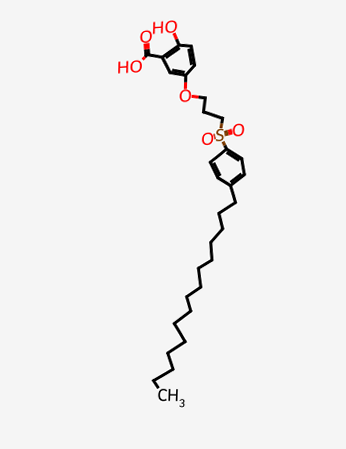 CCCCCCCCCCCCCCCc1ccc(S(=O)(=O)CCCOc2ccc(O)c(C(=O)O)c2)cc1